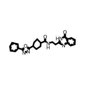 O=C(NCCc1nc2ccccc2c(=O)[nH]1)C1CCC(c2nnc(-c3ccccc3)o2)CC1